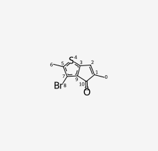 CC1=Cc2sc(C)c(Br)c2C1=O